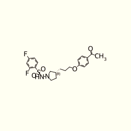 CC(=O)c1ccc(OCCC[C@@H]2CCN(NS(=O)(=O)c3ccc(F)cc3F)C2)cc1